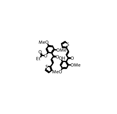 CCC(=O)Oc1cc(OC)cc(OC)c1C(=O)/C=C/c1cccs1.COc1cc(O)c(C(=O)/C=C/c2cccs2)c(OC)c1